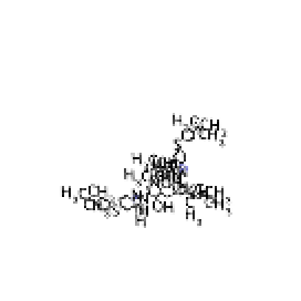 CC(C)(C)CC(C)(C)c1cc(Cc2cc(C(C)(C)CC(C)(C)C)cc(N/N=C3/C=CC(Sc4ccc(C(C)(C)C)cc4)=CC3=N)c2O)c(O)c(N/N=C2/C=CC(Sc3ccc(C(C)(C)C)cc3)=CC2=N)c1